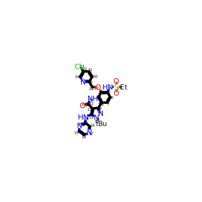 CCS(=O)(=O)Nc1ccc(-c2nn(C(C)(C)C)c(Nc3cnccn3)c2C(N)=O)cc1OCc1ccc(Cl)cn1